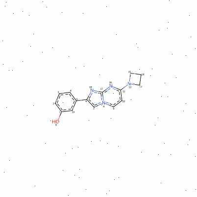 Oc1cccc(-c2cn3ccc(N4CCC4)nc3n2)c1